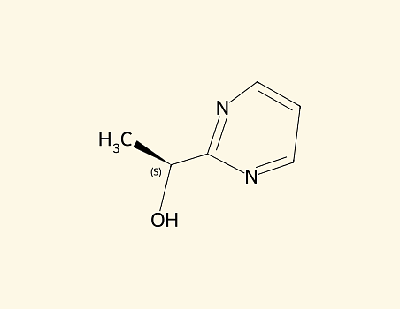 C[C@H](O)c1ncccn1